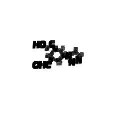 O=Cc1cc(C(=O)O)cc(-n2ccnn2)c1